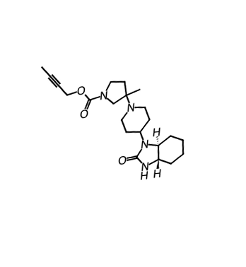 CC#CCOC(=O)N1CCC(C)(N2CCC(N3C(=O)N[C@H]4CCCC[C@@H]43)CC2)C1